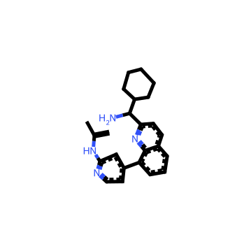 C=C(C)Nc1cc(-c2cccc3ccc(C(N)C4CCCCC4)nc23)ccn1